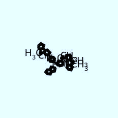 CC1(C)c2ccccc2-c2ccc(-c3ccc(N(c4ccc5c(c4)C(C)(C)c4cccc6c4N5c4ccccc4C6(C)C)c4ccc5ccccc5c4)cc3)cc21